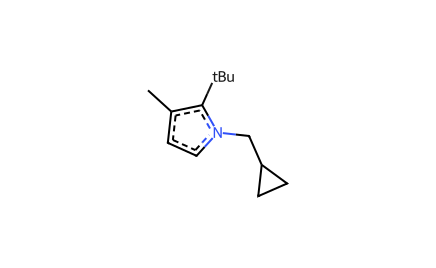 Cc1ccn(CC2CC2)c1C(C)(C)C